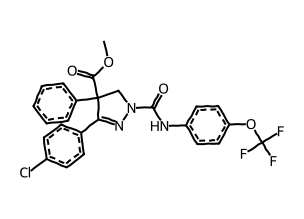 COC(=O)C1(c2ccccc2)CN(C(=O)Nc2ccc(OC(F)(F)F)cc2)N=C1c1ccc(Cl)cc1